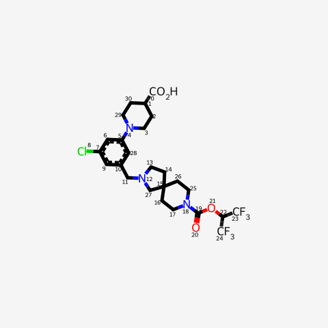 O=C(O)C1CCN(c2cc(Cl)cc(CN3CCC4(CCN(C(=O)OC(C(F)(F)F)C(F)(F)F)CC4)C3)c2)CC1